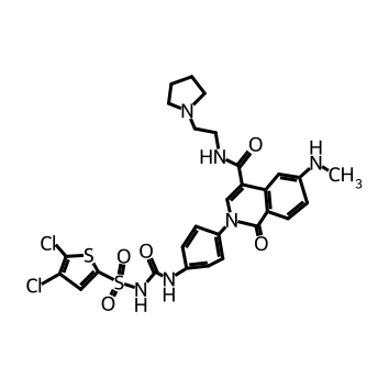 CNc1ccc2c(=O)n(-c3ccc(NC(=O)NS(=O)(=O)c4cc(Cl)c(Cl)s4)cc3)cc(C(=O)NCCN3CCCC3)c2c1